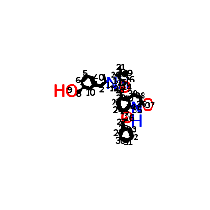 CC(Cc1cccc(CO)c1)NC[C@H](O[Si](C)(C)C(C)(C)C)c1ccc(OCc2ccccc2)c2[nH]c(=O)ccc12